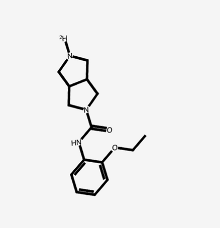 [2H]N1CC2CN(C(=O)Nc3ccccc3OCC)CC2C1